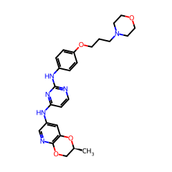 C[C@H]1COc2ncc(Nc3ccnc(Nc4ccc(OCCCN5CCOCC5)cc4)n3)cc2O1